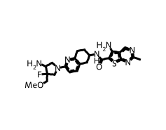 COCC1(F)CN(c2ccc3c(n2)CCC(NC(=O)c2sc4nc(C)ncc4c2N)C3)CC1N